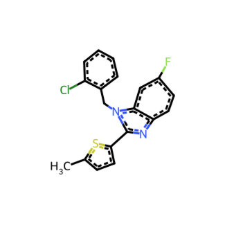 Cc1ccc(-c2nc3ccc(F)cc3n2Cc2ccccc2Cl)s1